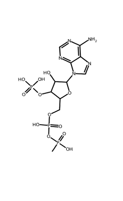 CP(=O)(O)OP(=O)(O)OCC1OC(n2cnc3c(N)ncnc32)C(O)C1OP(=O)(O)O